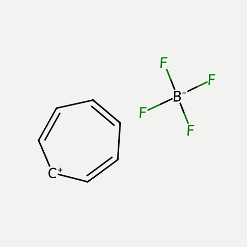 F[B-](F)(F)F.c1ccc[cH+]cc1